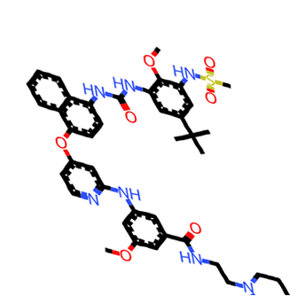 COc1cc(Nc2cc(Oc3ccc(NC(=O)Nc4cc(C(C)(C)C)cc(NS(C)(=O)=O)c4OC)c4ccccc34)ccn2)cc(C(=O)NCCN2CCC(O)CC2)c1